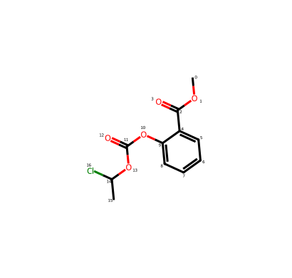 COC(=O)c1ccccc1OC(=O)OC(C)Cl